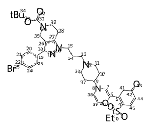 CCS(=O)(=O)C1=C(C2=CN(C3CCN(CCCn4nc(-c5ccc(Br)cc5)c5c4CCN(C(=O)OC(C)(C)C)C5)CC3)C=CO2)CC(=O)C=C1